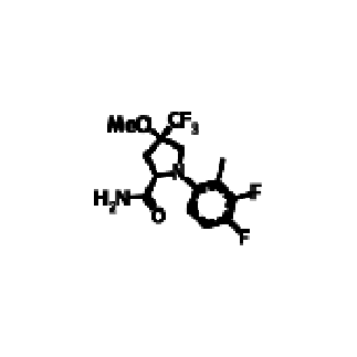 COC1(C(F)(F)F)CC(C(N)=O)N(c2ccc(F)c(F)c2C)C1